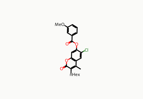 CCCCCCc1c(C)c2cc(Cl)c(OC(=O)c3cccc(OC)c3)cc2oc1=O